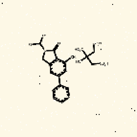 CCC(CC)N1Cc2cc(-c3cccnc3)cc(C)c2C1=O.O=C(O)CC(O)(CC(=O)O)C(=O)O